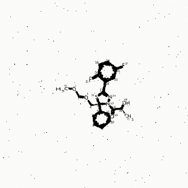 COCOC[C@@]1(c2ccccc2)SC(c2cc(F)ccc2F)=NN1C(=O)[C@H](C)O